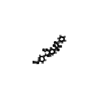 CCOP1CCC(CNc2ccc(S(=O)(=O)NC(=O)c3ccccc3)cc2[N+](=O)[O-])CC1